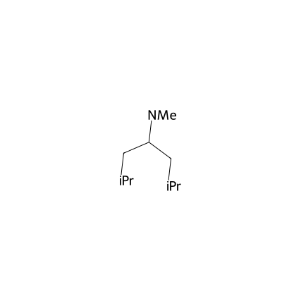 CNC(CC(C)C)CC(C)C